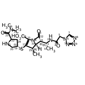 C[C@@H](NC(=O)Cn1cnnn1)[C@H]1C(=O)N2C(C(=O)O)=C(S[C@@H]3CNC(C(=O)N(C)C)C3)[C@H](C)[C@H]12